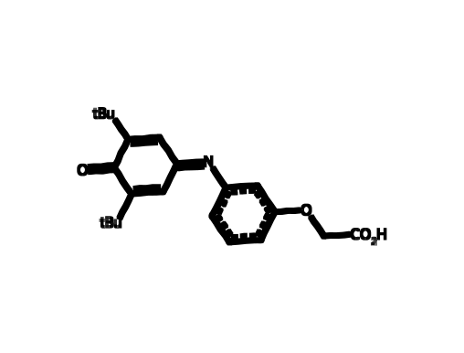 CC(C)(C)C1=CC(=Nc2cccc(OCC(=O)O)c2)C=C(C(C)(C)C)C1=O